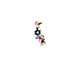 CC(=O)SCc1ccc(N(C)C(=O)OC(C)(C)C)cc1